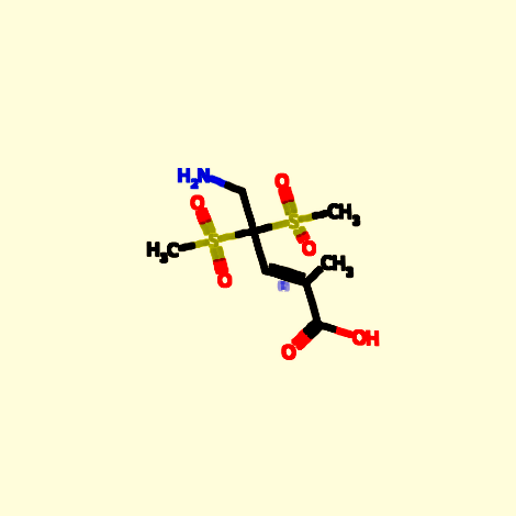 C/C(=C\C(CN)(S(C)(=O)=O)S(C)(=O)=O)C(=O)O